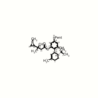 C=C(C)[C@@H]1CCC(C)=C[C@H]1c1c(O)cc(CCCCC)cc1OC(=O)CC(C)(C)C1CN1C